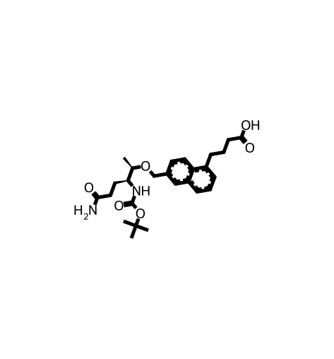 C[C@@H](OCc1ccc2c(CCCC(=O)O)cccc2c1)[C@H](CCC(N)=O)NC(=O)OC(C)(C)C